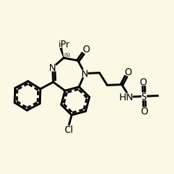 CC(C)[C@@H]1N=C(c2ccccc2)c2cc(Cl)ccc2N(CCC(=O)NS(C)(=O)=O)C1=O